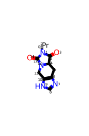 CC(C)N1C(=O)C2Cc3nc[nH]c3CN2C1=O